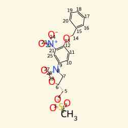 CS(=O)(=O)OC[C@H]1CN(c2ccc(OCc3ccccc3)c([N+](=O)[O-])c2)C(=O)O1